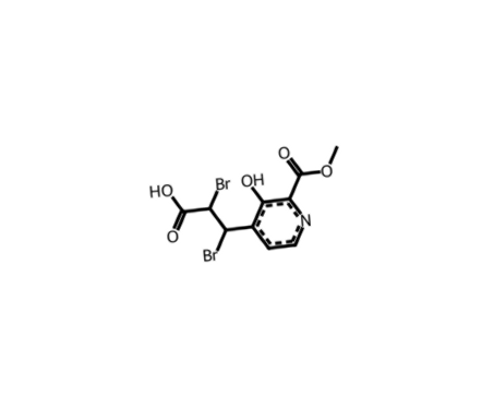 COC(=O)c1nccc(C(Br)C(Br)C(=O)O)c1O